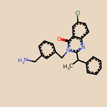 CC(c1ccccc1)c1nc2ccc(Cl)cc2c(=O)n1Cc1cccc(CN)c1